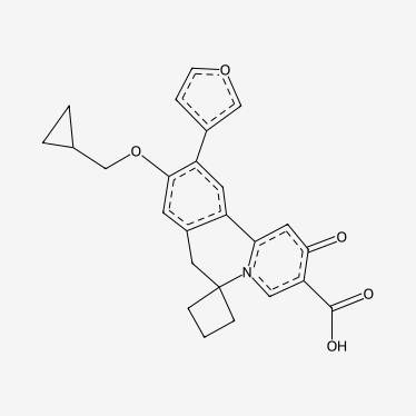 O=C(O)c1cn2c(cc1=O)-c1cc(-c3ccoc3)c(OCC3CC3)cc1CC21CCC1